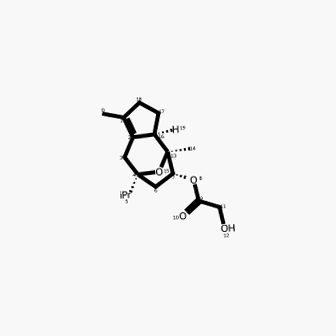 CC1=C2[CH][C@]3(C(C)C)C[C@@H](OC(=O)CO)[C@@](C)(O3)[C@@H]2CC1